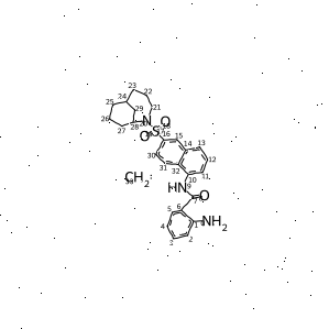 Nc1ccccc1C(=O)Nc1cccc2cc(S(=O)(=O)N3CCCC4CCCC3C4)ccc12.[CH2]